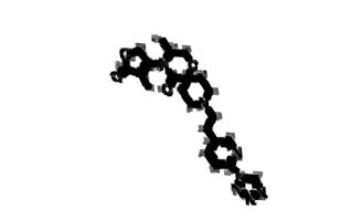 CC1=C(N2C(=O)C3(CCN(CCc4ccc(-n5cnnn5)nc4)CC3)OCC2C)COC1=O